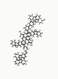 C=C/C=C\C=C\[Si](c1ccccc1)(c1ccccc1)c1ccc(-c2cccc(N(c3ccc4c(c3)oc3ccccc34)c3cc(C(C)C)c4ccc5c(N(C(=C)/C=C\C=C\c6ccc([Si](c7ccccc7)(c7ccccc7)c7ccccc7)cc6)c6ccc7c(c6)oc6ccccc67)cc(C(C)C)c6ccc3c4c65)c2)cc1